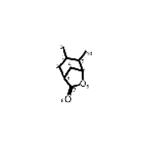 CC1CC2CC(OC2=O)C1C